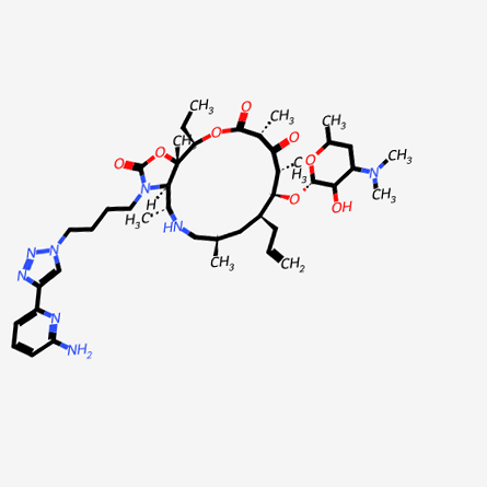 C=CC[C@H]1C[C@@H](C)CN[C@H](C)[C@H]2N(CCCCn3cc(-c4cccc(N)n4)nn3)C(=O)O[C@]2(C)[C@@H](CC)OC(=O)[C@H](C)C(=O)[C@H](C)[C@H]1O[C@@H]1OC(C)CC(N(C)C)C1O